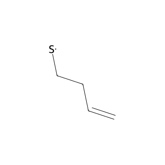 C=CCC[S]